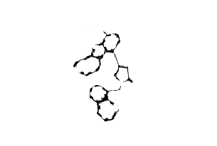 COc1ccc(C2CC(=O)N(Cc3cccc4cccnc34)C2)c2c1oc1cnccc12